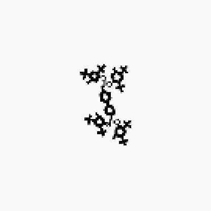 Cc1cc(OP(Cc2ccc(-c3ccc(P(Oc4cc(C)c(C(C)(C)C)cc4C(C)(C)C)Oc4cc(C)c(C(C)(C)C)cc4C(C)(C)C)cc3)cc2)Oc2cc(C)c(C(C)(C)C)cc2C(C)(C)C)c(C(C)(C)C)cc1C(C)(C)C